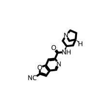 N#Cc1cc2cnc(C(=O)N[C@@H]3C[C@@H]4CCN(C4)C3)cc2o1